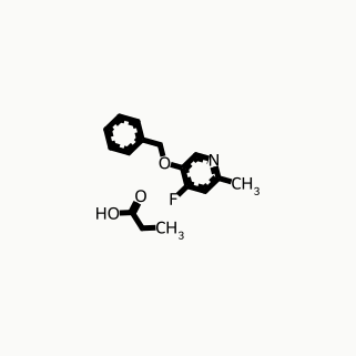 CCC(=O)O.Cc1cc(F)c(OCc2ccccc2)cn1